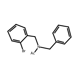 [CH2]C(=O)N(Cc1ccccc1)Cc1ccccc1Br